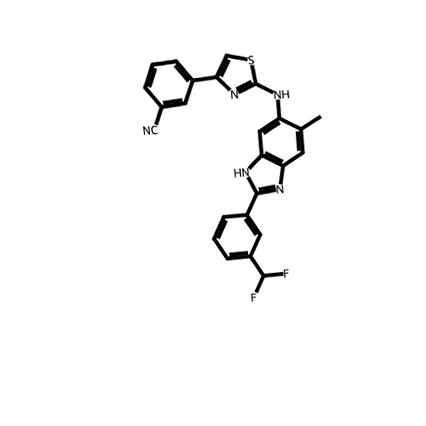 Cc1cc2nc(-c3cccc(C(F)F)c3)[nH]c2cc1Nc1nc(-c2cccc(C#N)c2)cs1